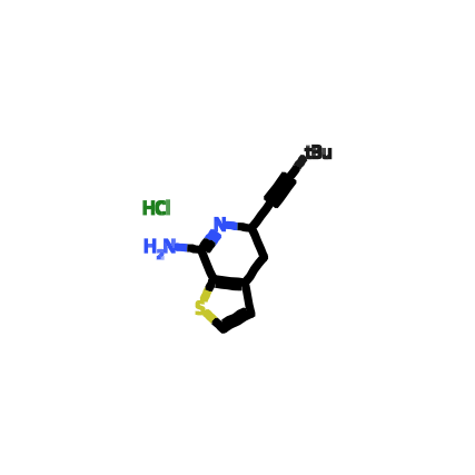 CC(C)(C)C#CC1Cc2ccsc2C(N)=N1.Cl